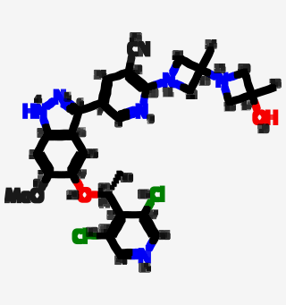 COc1cc2[nH]nc(-c3cnc(N4CC(C)(N5CC(C)(O)C5)C4)c(C#N)c3)c2cc1O[C@H](C)c1c(Cl)cncc1Cl